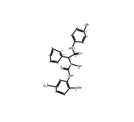 COc1ccc([N+](=O)[O-])cc1NC(=O)N(S)C(C(=O)Nc1ccc(Br)cc1)c1ccccc1